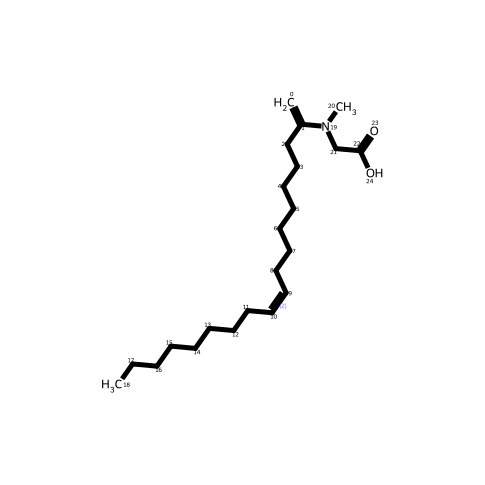 C=C(CCCCCCC/C=C\CCCCCCCC)N(C)CC(=O)O